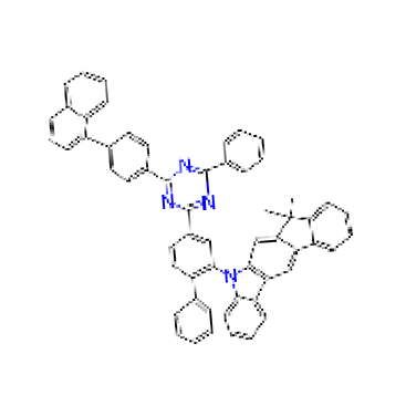 CC1(C)c2ccccc2-c2cc3c4ccccc4n(-c4cc(-c5nc(-c6ccccc6)nc(-c6ccc(-c7cccc8ccccc78)cc6)n5)ccc4-c4ccccc4)c3cc21